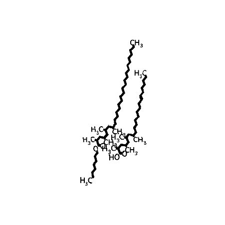 CCCCCCC=CCCCCCCCCC(C)CC(C)CC(C)CC(C)C(=O)O.CCCCCCCCCCCCCCCCCCCCCCC(C)CC(C)CC(C)CC(C)C(=O)OCCCCCCCC